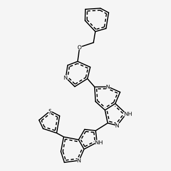 c1ccc(COc2cncc(-c3cc4c(-c5cc6c(-c7ccsc7)ccnc6[nH]5)n[nH]c4cn3)c2)cc1